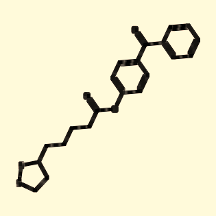 O=C(CCCCC1CCSS1)Oc1ccc(C(=O)c2ccccc2)cc1